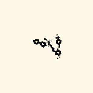 CCOC(=O)C(CC/C=C/c1cc(OC)ccc1OCc1ccc(C(F)(F)F)cc1)Oc1ccc(-c2ccc(F)cc2)cc1